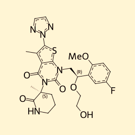 COc1ccc(F)cc1[C@H](Cn1c(=O)n([C@@]2(C)CCCNC2=O)c(=O)c2c(C)c(-n3nccn3)sc21)OCCO